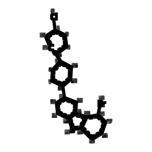 Clc1ccc(-c2ccc(-c3ccc4sc5cccc(Br)c5c4c3)cc2)cc1